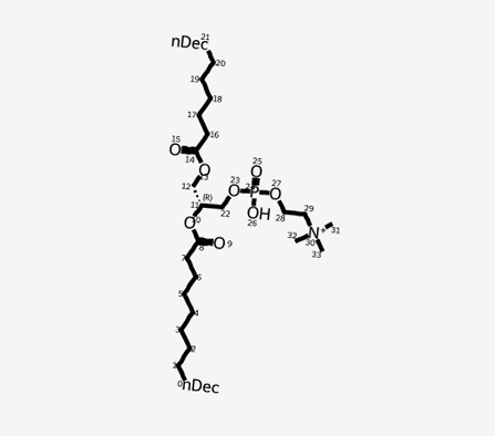 CCCCCCCCCCCCCCCCCC(=O)O[C@H](COC(=O)CCCCCCCCCCCCCCC)COP(=O)(O)OCC[N+](C)(C)C